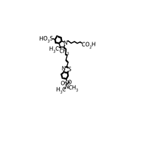 CN(C)S(=O)(=O)c1ccc2nc(/C=C/C=C/C=C3/N(CCCCCC(=O)O)c4ccc(S(=O)(=O)O)cc4C3(C)C)sc2c1